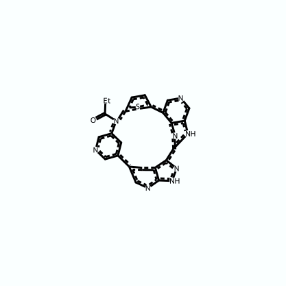 CCC(=O)n1c2cncc(c2)c2cnc3[nH]nc(c4nc5c(cncc5c5ccc1s5)[nH]4)c3c2